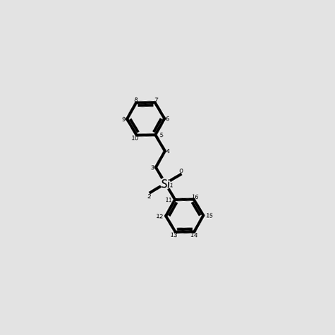 C[Si](C)(CCc1ccccc1)c1ccccc1